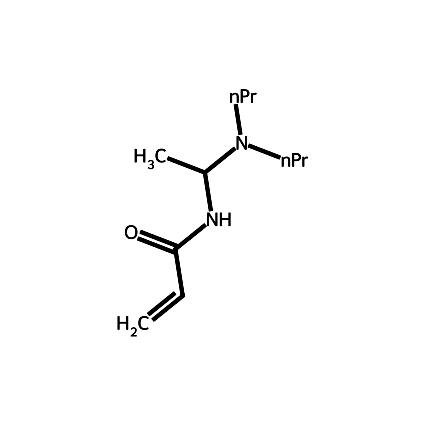 C=CC(=O)NC(C)N(CCC)CCC